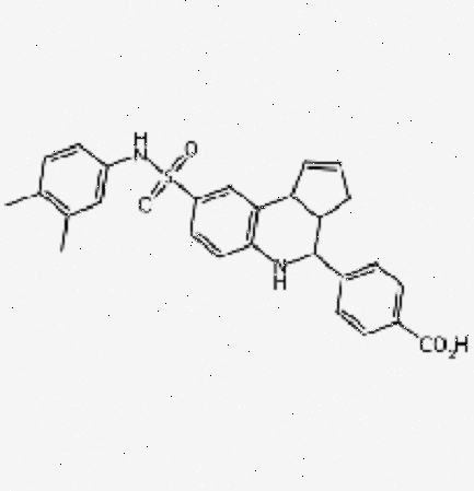 Cc1ccc(NS(=O)(=O)c2ccc3c(c2)C2C=CCC2C(c2ccc(C(=O)O)cc2)N3)cc1C